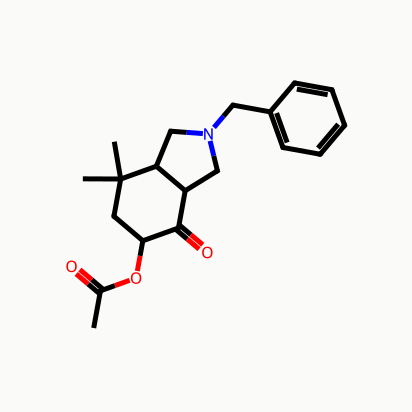 CC(=O)OC1CC(C)(C)C2CN(Cc3ccccc3)CC2C1=O